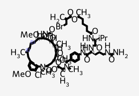 C=C(CBr)C(=O)OC(C)CCCCC(=O)N[C@H](C(=O)N[C@@H](CCCNC(N)=O)C(=O)Nc1ccc(C(=O)N(C)[C@@H](C)C(=O)O[C@H]2CC(=O)N(C)c3cc(cc(OC)c3Cl)C/C(C)=C/C=C/[C@@H](OC)[C@@]3(O)C[C@H](OC(=O)N3)[C@@H](C)[C@@H]3O[C@@]23C)cc1)C(C)C